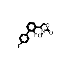 O=C1OCC(c2cccc(-c3ccc(F)cc3)c2F)N1Cl